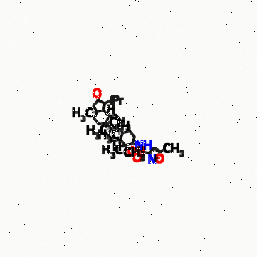 Cc1cc(C(=O)N[C@]2(O)CC[C@]3(C)[C@H]4CC[C@@H]5C6=C(C(C)C)C(=O)C[C@]6(C)CC[C@@]5(C)[C@]4(C)CC[C@H]3C2(C)C)no1